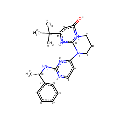 C[C@H](Nc1nccc(N2CCCn3c2nc(C(C)(C)C)cc3=O)n1)c1ccccc1